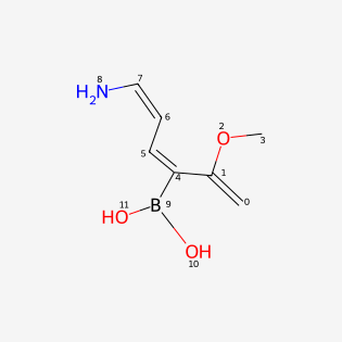 C=C(OC)/C(=C\C=C/N)B(O)O